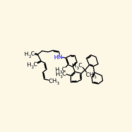 C=C(/C=C\C=C/C)C(=C)CC/C=C\Nc1cccc(-c2c(C)cccc2C(C)(C)C2=C(C3=CC=CCC3)CCC=C2)c1C